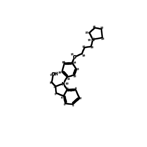 OCC1Cc2ccccc2N1c1ccc(OCCCN2CCCC2)cc1